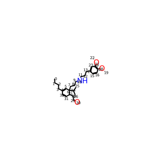 CCCCC1=CC(CCCNCCCc2ccc(OC)c(OC)c2)(C(C)C)C(CC=O)C=C1